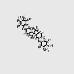 Nc1c(O)c(F)c(Oc2ccc(C(c3ccc(Oc4c(F)c(O)c(N)c(F)c4F)cc3)(C(F)(F)F)C(F)(F)F)cc2)c(F)c1F